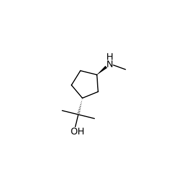 CN[C@@H]1CC[C@@H](C(C)(C)O)C1